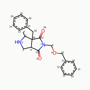 CC1NCC2C(=O)N(COCc3ccccc3)C(=O)C12Cc1ccccc1